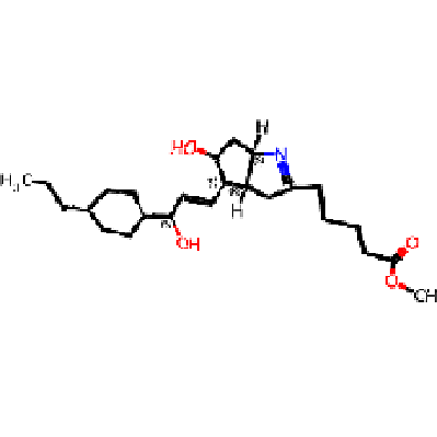 CCC[C@H]1CC[C@@H]([C@H](O)C=C[C@H]2C(O)C[C@@H]3N=C(CCCCC(=O)OC)C[C@@H]32)CC1